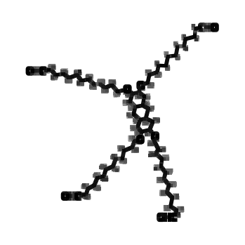 O=CCCCCCCCCCCCCOC1CC2CC3CC(OCCCCCCCCCCCCC=O)C(OCCCCCCCCCCCCC=O)CC3CC2CC1OCCCCCCCCCCCCC=O